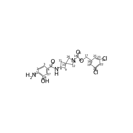 Nc1ccc(C(=O)NC2CC3(C2)CN(C(=O)OCc2cc(Cl)cc(Cl)c2)C3)cc1O